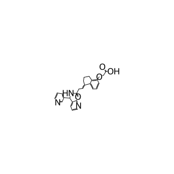 O=C(O)COc1cccc2c1CCCC2=CCC(=O)NC(c1cccnc1)c1cccnc1